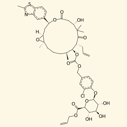 C=CCOC(=O)[C@H]1O[C@@H](Oc2ccc(COC(=O)O[C@H]3[C@@H](C)CCC[C@@]4(C)O[C@H]4C[C@@H](c4ccc5sc(C)nc5c4)OC(=O)C[C@H](O)C(C)(C)C(=O)[C@@H]3CC=C)cc2Cl)[C@H](O)[C@@H](O)[C@@H]1O